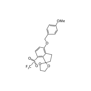 COc1ccc(COc2ccc(S(=O)(=O)C(F)(F)F)c3c2CCC32OCCO2)cc1